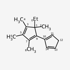 CCC1(C)C(C)=C(C)C(C)=C1C1=[C]CC=C1